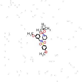 COc1ccc(S(=O)(=O)N(Cc2cccc(OC)c2)C2CCCN(C(=O)OC(C)(C)C)C2)cc1